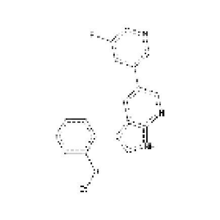 CCOc1ccccc1-c1c[nH]c2ncc(-c3cncc(F)c3)cc12